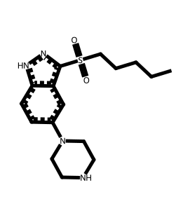 CCCCCS(=O)(=O)c1n[nH]c2ccc(N3CCNCC3)cc12